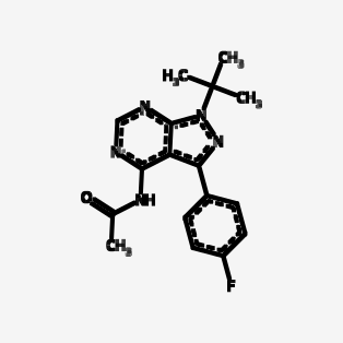 CC(=O)Nc1ncnc2c1c(-c1ccc(F)cc1)nn2C(C)(C)C